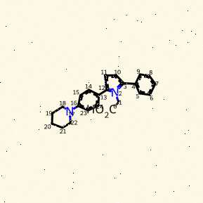 O=C(O)Cn1c(-c2ccccc2)ccc1-c1ccc(N2CCCCC2)cc1